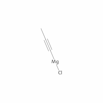 CC#[C][Mg][Cl]